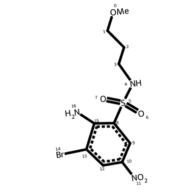 COCCCNS(=O)(=O)c1cc([N+](=O)[O-])cc(Br)c1N